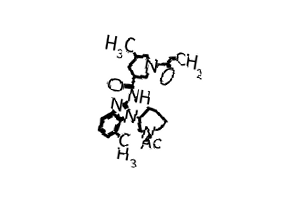 C=CC(=O)N1CC(C)CC(C(=O)Nc2nc3cccc(C)c3n2[C@@H]2CCCCN(C(C)=O)C2)C1